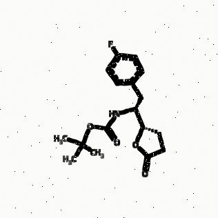 CC(C)(C)OC(=O)N[C@@H](Cc1ccc(F)cc1)[C@@H]1CCC(=O)O1